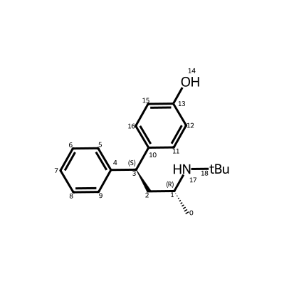 C[C@H](C[C@@H](c1ccccc1)c1ccc(O)cc1)NC(C)(C)C